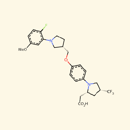 COc1ccc(F)c(N2CC[C@H](COc3ccc(N4C[C@H](C(F)(F)F)C[C@@H]4CC(=O)O)cc3)C2)c1